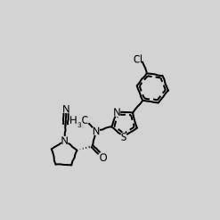 CN(C(=O)[C@@H]1CCCN1C#N)c1nc(-c2cccc(Cl)c2)cs1